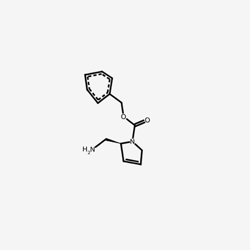 NC[C@@H]1C=CCN1C(=O)OCc1ccccc1